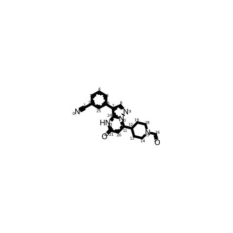 N#Cc1cccc(-c2cnn3c(C4CCN(C=O)CC4)cc(=O)[nH]c23)c1